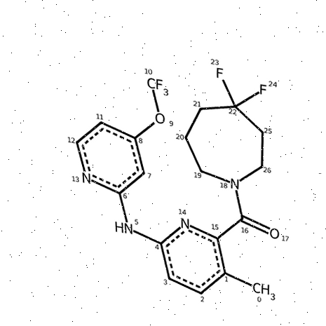 Cc1ccc(Nc2cc(OC(F)(F)F)ccn2)nc1C(=O)N1CCCC(F)(F)CC1